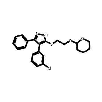 Clc1cccc(-c2c(-c3ccccc3)n[nH]c2SCCOC2CCCCO2)c1